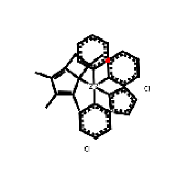 CC1=C(C)[C]2([Zr+2]([c]3ccccc3)([c]3ccccc3)([c]3ccccc3)[c]3ccc[pH]3)C(=C1C)CC2C.[Cl-].[Cl-]